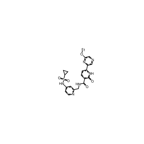 CCOc1cncc(-c2ccc(C(=O)NCc3cc(NS(=O)(=O)C4CC4)ccn3)c(=O)[nH]2)n1